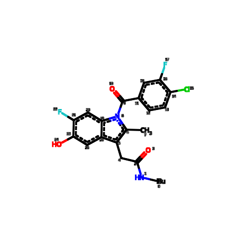 CCC(C)NC(=O)Cc1c(C)n(C(=O)c2ccc(Cl)c(F)c2)c2cc(F)c(O)cc12